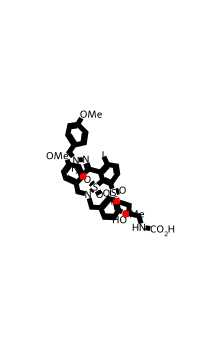 COc1ccc(CN(Cc2ccc(OC)cc2)S(=O)(=O)c2c(S(=O)(=O)NC[C@H](O)CNC(=O)O)ccc(I)c2-c2nnn(Cc3ccc(OC)cc3)n2)cc1